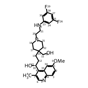 COc1ccc2ncc(C)c([C@@H](O)CCC3(CO)CCN(CCNc4cc(F)cc(F)c4)CC3)c2c1